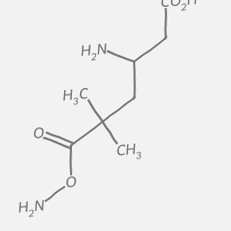 CC(C)(CC(N)CC(=O)O)C(=O)ON